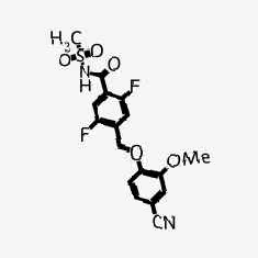 COc1cc(C#N)ccc1OCc1cc(F)c(C(=O)NS(C)(=O)=O)cc1F